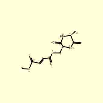 C=C1N[C@@H](COC(=O)/C=C/C(=O)OC)C(=O)N[C@H]1C